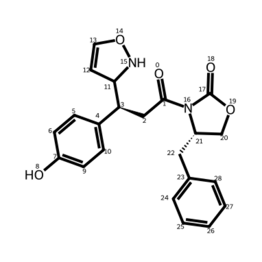 O=C(C[C@@H](c1ccc(O)cc1)C1C=CON1)N1C(=O)OC[C@@H]1Cc1ccccc1